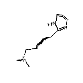 CN(C)CCCCc1n[c]c[nH]1